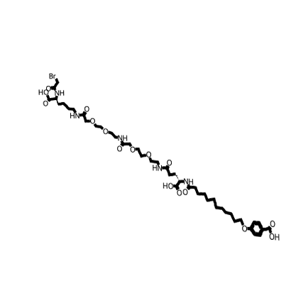 O=C(CC[C@H](NC(=O)CCCCCCCCCCCOc1ccc(C(=O)O)cc1)C(=O)O)NCCOCCOCC(=O)NCCOCCOCC(=O)NCCCC[C@H](NC(=O)CBr)C(=O)O